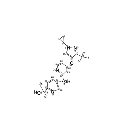 CC(C)(C)c1nn(C2CC2)cc1Oc1ccnc([AsH]c2ccc(C(C)(C)O)nc2)c1